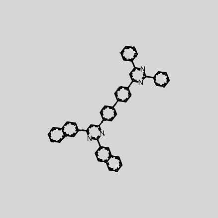 c1ccc(-c2cc(-c3ccc(-c4ccc(-c5cc(-c6ccc7ccccc7c6)nc(-c6ccc7ccccc7c6)n5)cc4)cc3)nc(-c3ccccc3)n2)cc1